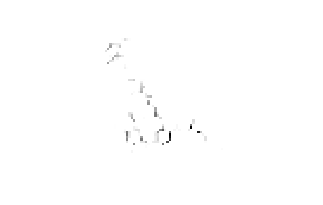 CCC(C)(C)C(=O)OCc1ccc(O[C@@H]2O[C@H](C(=O)O)[C@@H](O)[C@H](O)[C@H]2O)cc1OCCCNC(=O)CCCCCN1C(=O)C=CC1=O